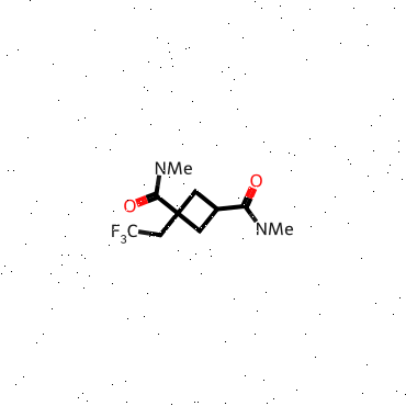 CNC(=O)C1CC(CC(F)(F)F)(C(=O)NC)C1